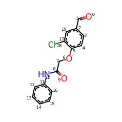 O=Cc1ccc(OCC(=O)Nc2ccccc2)c(Cl)c1